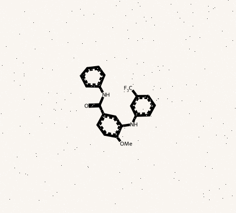 COc1ccc(C(=O)Nc2ccccc2)cc1Nc1cccc(C(F)(F)F)c1